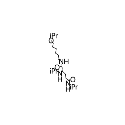 CC(C)NC(=O)CCC(CC(=O)NCCCCCCOC(C)C)NC(C)C